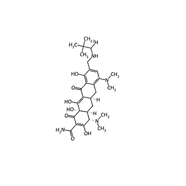 [2H]C(NCc1cc(N(C)C)c2c(c1O)C(=O)C1=C(O)[C@]3(O)C(=O)C(C(N)=O)=C(O)[C@@H](N(C)C)[C@@H]3C[C@@H]1C2)C(C)(C)C